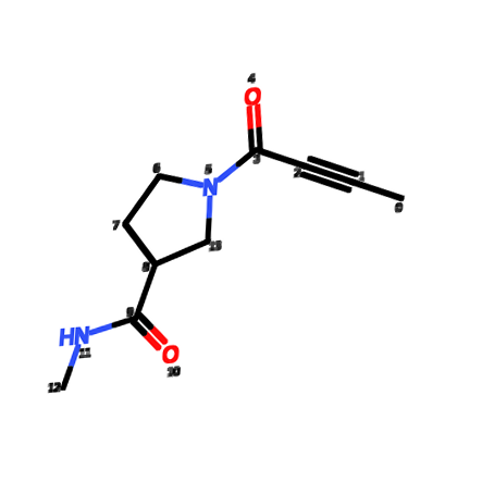 CC#CC(=O)N1CCC(C(=O)NC)C1